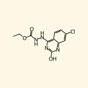 CCOC(=O)NNc1nc(O)nc2cc(Cl)ccc12